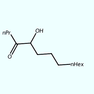 CCCCCCCCCC(O)C(=O)CCC